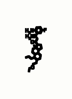 CCCC1C(CCOCC)CCC2C1CCC1(C)C(C(=O)CN(N)c3cc(F)ccc3N)CCC21